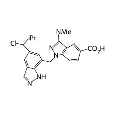 CNc1nn(Cc2cc(C(Cl)C(C)C)cc3cn[nH]c23)c2ccc(C(=O)O)cc12